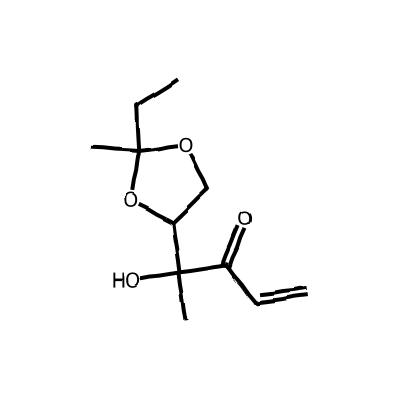 C=CC(=O)C(C)(O)C1COC(C)(CC)O1